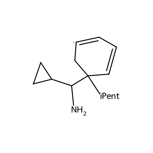 CCCC(C)C1(C(N)C2CC2)C=CC=[C]C1